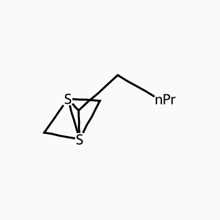 CCCCC1S23CS12C3